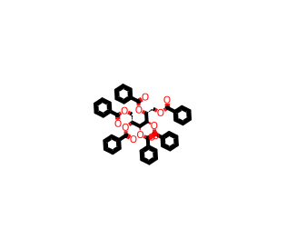 O=C(OC[C@@H](OC(=O)c1ccccc1)[C@@H](OC(=O)c1ccccc1)[C@H](OC(=O)c1ccccc1)[C@@H](COC(=O)c1ccccc1)OC(=O)c1ccccc1)c1ccccc1